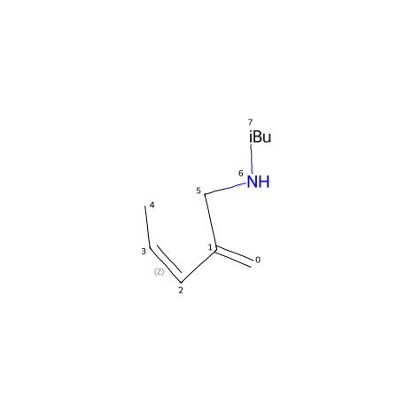 C=C(/C=C\C)CNC(C)CC